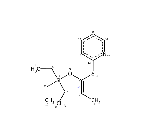 C/C=C(/O[Si](CC)(CC)CC)Sc1ccccn1